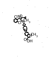 CN(Cc1c(-c2c(Cl)cccc2Cl)noc1C1CC1)C1CC2(C1)CC1CCC(C2)N1c1ccc2c(C(=O)O)cn(C)c2c1